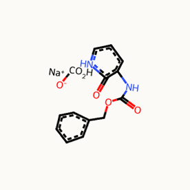 O=C(Nc1ccc[nH]c1=O)OCc1ccccc1.O=C([O-])O.[Na+]